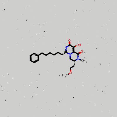 COCC[C@@H]1Cn2c(CCCCCCc3ccccc3)nc(=O)c(O)c2C(=O)N1C